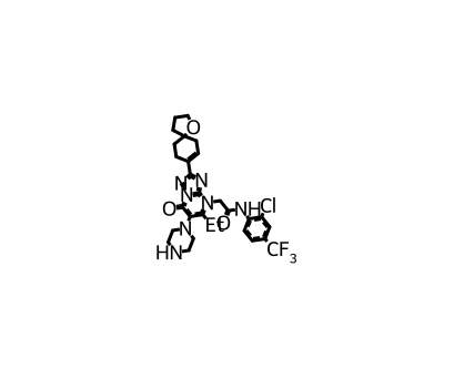 CCc1c(N2CCNCC2)c(=O)n2nc(C3=CCC4(CCCO4)CC3)nc2n1CC(=O)Nc1ccc(C(F)(F)F)cc1Cl